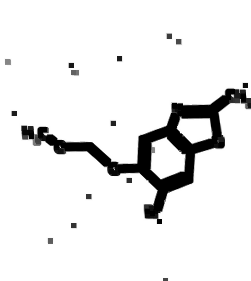 COCOc1cc2nc(C)oc2cc1Br